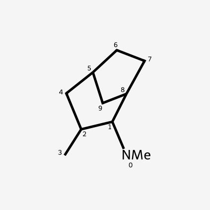 CNC1C(C)CC2CCC1C2